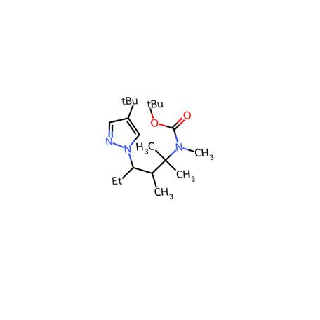 CCC(C(C)C(C)(C)N(C)C(=O)OC(C)(C)C)n1cc(C(C)(C)C)cn1